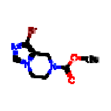 CC(C)(C)OC(=O)N1CCn2cnc(Br)c2C1